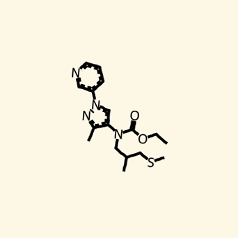 CCOC(=O)N(CC(C)CSC)c1cn(-c2cccnc2)nc1C